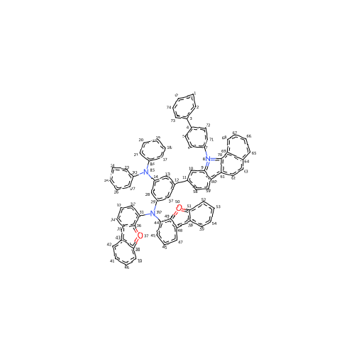 c1ccc(-c2ccc(-n3c4cc(-c5cc(N(c6ccccc6)c6ccccc6)cc(N(c6cccc7c6oc6ccccc67)c6cccc7c6oc6ccccc67)c5)ccc4c4ccc5ccccc5c43)cc2)cc1